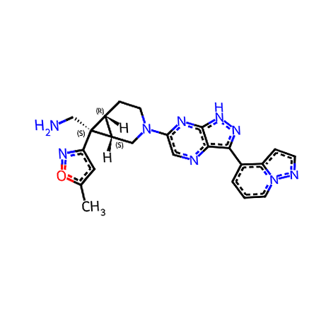 Cc1cc([C@@]2(CN)[C@@H]3CCN(c4cnc5c(-c6cccn7nccc67)n[nH]c5n4)C[C@@H]32)no1